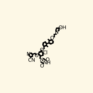 Cc1c(COc2cc(OCc3cncc(C#N)c3)c(CN3CC(=O)NC(=O)C3)cc2Cl)cccc1-c1cccc(OCCCN2CC[C@H](O)C2)c1C